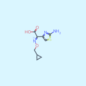 Nc1nc(/C(=N\OCC2CC2)C(=O)O)cs1